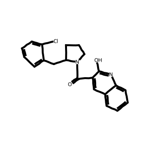 O=C(c1cc2ccccc2nc1O)N1CCCC1Cc1ccccc1Cl